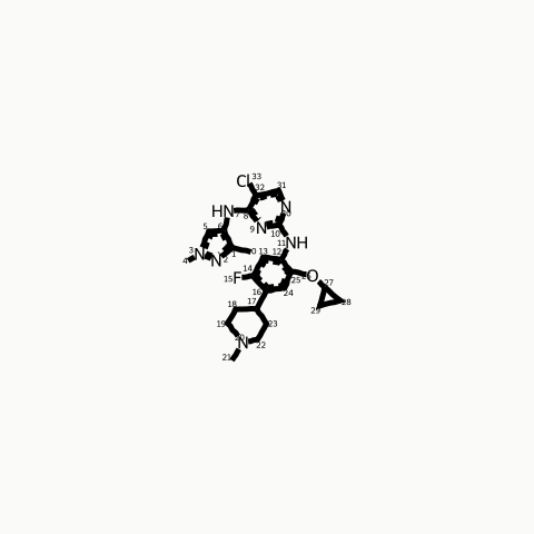 Cc1nn(C)cc1Nc1nc(Nc2cc(F)c(C3CCN(C)CC3)cc2OC2CC2)ncc1Cl